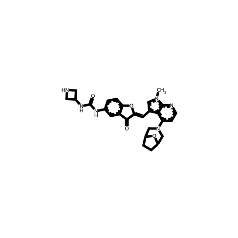 Cn1cc(/C=C2\Oc3ccc(NC(=O)NC4CNC4)cc3C2=O)c2c(N3CC4CCC(C3)O4)ccnc21